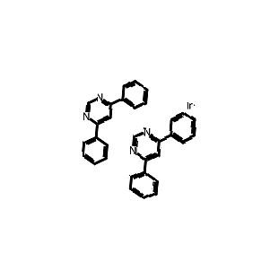 [Ir].c1ccc(-c2cc(-c3ccccc3)ncn2)cc1.c1ccc(-c2cc(-c3ccccc3)ncn2)cc1